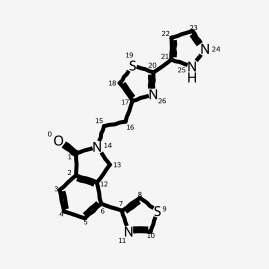 O=C1c2cccc(-c3cscn3)c2CN1CCc1csc(-c2ccn[nH]2)n1